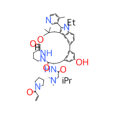 C=CC(=O)N1CC[C@H](CN(C)[C@H](C(=O)N[C@H]2Cc3cc(O)cc(c3)-c3ccc4c(c3)c(c(-c3cnccc3C)n4CC)CC(C)(C)COC(=O)[C@@H]3CCCN(N3)C2=O)C(C)C)C1